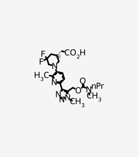 CCCN(C)C(=O)OCc1c(-c2ccc(N3C[C@@H](CC(=O)O)CC(F)(F)C3)c(C)n2)nnn1C